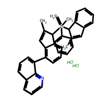 CC1=Cc2ccccc2[CH]1[Zr]([CH3])(=[SiH2])([c]1ccccc1)[CH]1C(C)=Cc2c(-c3cccc4cccnc34)cccc21.Cl.Cl